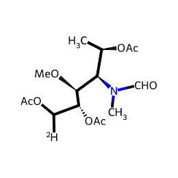 [2H]C(OC(C)=O)[C@@H](OC(C)=O)[C@@H](OC)[C@@H]([C@@H](C)OC(C)=O)N(C)C=O